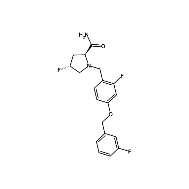 NC(=O)[C@@H]1C[C@@H](F)CN1Cc1ccc(OCc2cccc(F)c2)cc1F